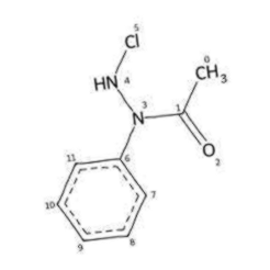 CC(=O)N(NCl)c1ccccc1